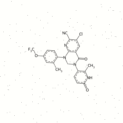 Cc1cc(OC(F)(F)F)ccc1N1CN(c2ccc(=O)[nH]c2C)C(=O)c2cc(Cl)c(C#N)nc21